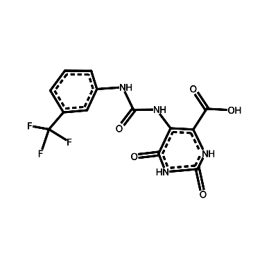 O=C(Nc1cccc(C(F)(F)F)c1)Nc1c(C(=O)O)[nH]c(=O)[nH]c1=O